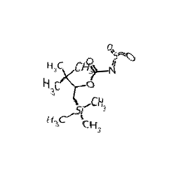 CC(C)(C)C(C[Si](C)(C)C)OC(=O)N=S(=O)=O